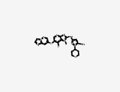 Cn1c(Nc2cc(C(C)(C)C)n(C3CCOCC3)n2)nc2ncc(Oc3cnn4ccnc4c3)c(Cl)c21